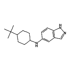 CC(C)(C)C1CCC(Nc2ccc3[nH]ncc3c2)CC1